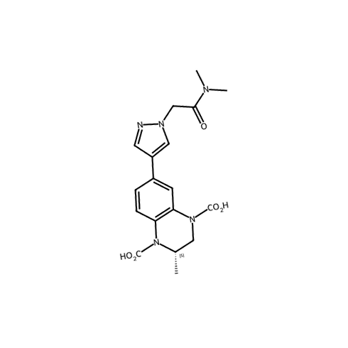 C[C@H]1CN(C(=O)O)c2cc(-c3cnn(CC(=O)N(C)C)c3)ccc2N1C(=O)O